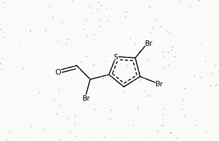 O=CC(Br)c1cc(Br)c(Br)s1